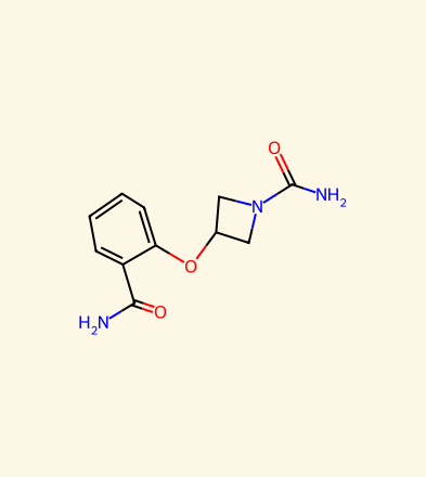 NC(=O)c1ccccc1OC1CN(C(N)=O)C1